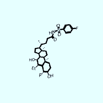 CC[C@@H]1C2[C@@H](F)[C@H](O)CC[C@]2(C)C2CC[C@@]3(C)C(CCC3[C@H](C)CCC(=O)NS(=O)(=O)c3ccc(F)cc3)C2[C@@H]1O